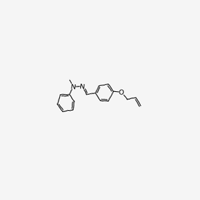 C=CCOc1ccc(C=NN(C)c2ccccc2)cc1